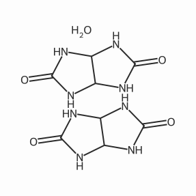 O.O=C1NC2NC(=O)NC2N1.O=C1NC2NC(=O)NC2N1